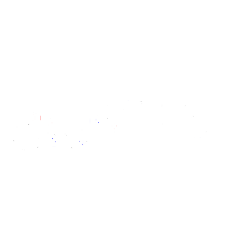 CC/C=C\C/C=C\C/C=C\C/C=C\C/C=C\C/C=C\CCC(=O)NCCN(C)CCNC(=O)c1ccccc1O